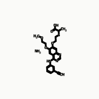 C#Cc1cccc(Nc2ncnc3cc(OCCSC(C)C(=O)O)c(OCCOC)cc23)c1.N